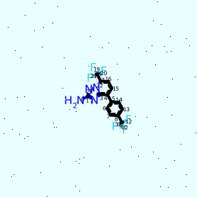 Nc1nc2c(-c3ccc(C(F)(F)F)cc3)ccc(C(F)(F)F)n2n1